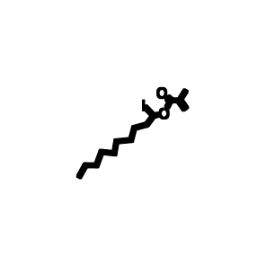 C=C(C)C(=O)OC(I)CCCCCCCCC